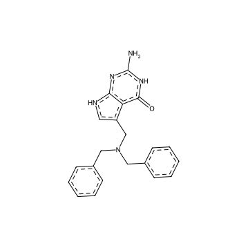 Nc1nc2[nH]cc(CN(Cc3ccccc3)Cc3ccccc3)c2c(=O)[nH]1